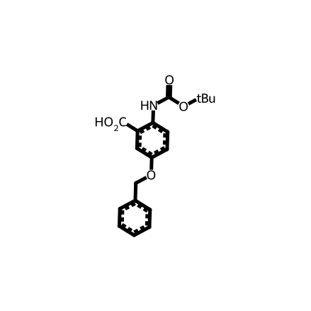 CC(C)(C)OC(=O)Nc1ccc(OCc2ccccc2)cc1C(=O)O